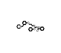 O=C(N/C(=N/CCCOc1cccc(CN2CCCCC2)c1)Oc1ccccc1)c1ccccc1